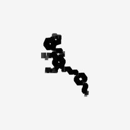 COc1cc2c(cc1OCCCN1CCN(CCF)CC1)=NCN(c1cccc3c1COO3)C=2N